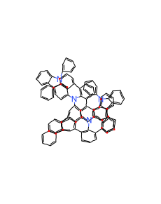 c1ccc(-c2cccc(-c3cccc(-c4cccc(-c5ccccc5)c4)c3N(c3cc(-c4ccccc4)cc(N(c4ccc5c6ccccc6n(-c6ccccc6)c5c4)c4c(-c5cccc(-c6ccccc6)c5)cccc4-c4cccc(-c5ccccc5)c4)c3)c3ccc4c5ccccc5n(-c5ccccc5)c4c3)c2)cc1